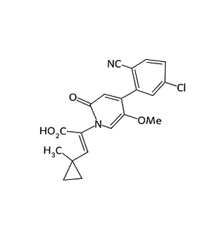 COc1cn(/C(=C/C2(C)CC2)C(=O)O)c(=O)cc1-c1cc(Cl)ccc1C#N